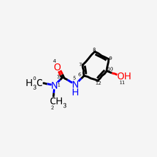 CN(C)C(=O)Nc1cccc(O)c1